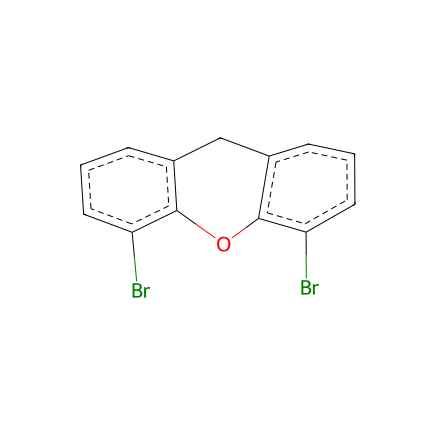 Brc1cccc2c1Oc1c(Br)cccc1C2